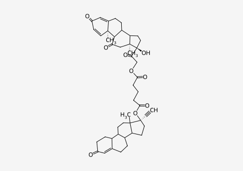 C#C[C@]1(OC(=O)CCCC(=O)OCC(=O)[C@@]2(O)CCC3C4CCC5=CC(=O)C=C[C@]5(C)C4C(=O)C[C@@]32C)CCC2C3CCC4=CC(=O)CCC4C3CCC21C